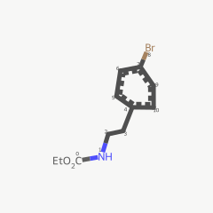 CCOC(=O)NCCc1ccc(Br)cc1